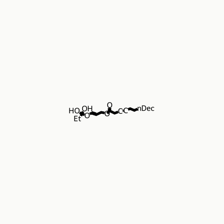 CCCCCCCCCCCCCCCC(=O)OC/C=C/OC(O)(O)CC